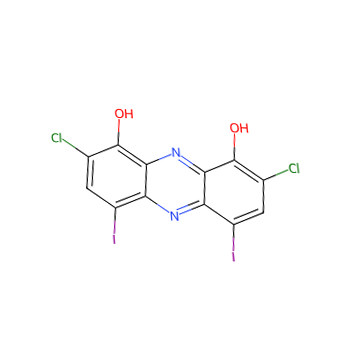 Oc1c(Cl)cc(I)c2nc3c(I)cc(Cl)c(O)c3nc12